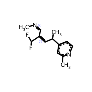 C/N=C\C(=C/C(C)c1ccnc(C)c1)C(F)F